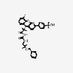 CC(C)(CNC(=O)NC(=O)C(C)(C)[C@@H]1c2ccc(-c3ccc(C(C)(C)O)cc3)nc2Oc2c(F)cccc21)OCc1ccccc1